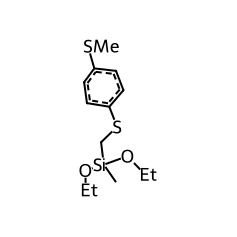 CCO[Si](C)(CSc1ccc(SC)cc1)OCC